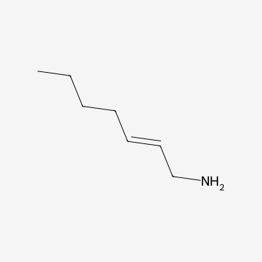 CCCCC=CCN